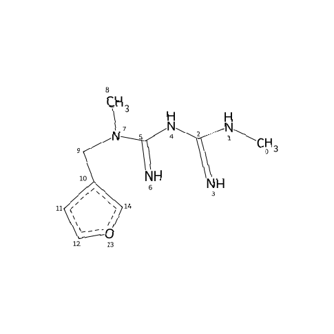 CNC(=N)NC(=N)N(C)Cc1ccoc1